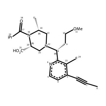 CC#Cc1ccnc([C@@H](CCOC)N2C[C@@H](C)N(C(=O)C(C)C)[C@@H](C(=O)O)C2)c1F